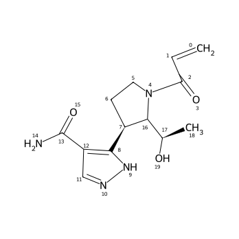 C=CC(=O)N1CC[C@H](c2[nH]ncc2C(N)=O)C1[C@@H](C)O